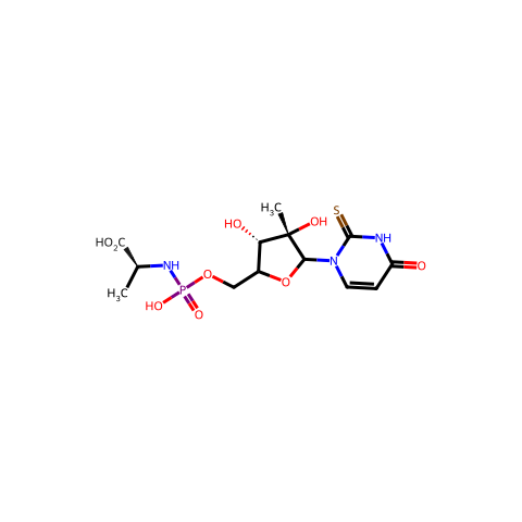 C[C@H](NP(=O)(O)OCC1OC(n2ccc(=O)[nH]c2=S)[C@@](C)(O)[C@H]1O)C(=O)O